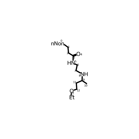 CCCCCCCCCCCC(=O)NCCNC(C)CCOCC